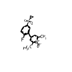 Cc1cc(-c2cc(S(=O)(=O)C3CC3)ccc2F)cc(C)[n+]1[O-]